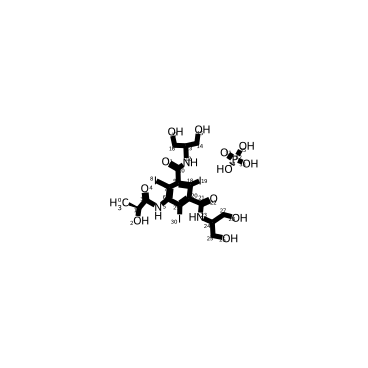 C[C@H](O)C(=O)Nc1c(I)c(C(=O)NC(CO)CO)c(I)c(C(=O)NC(CO)CO)c1I.O=P(O)(O)O